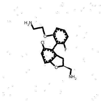 NCCOc1cccc(F)c1-c1c(Cl)ccc2c1C[C@@H](CN)O2